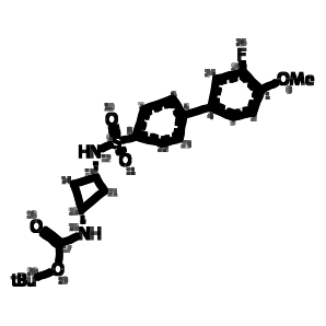 COc1ccc(-c2ccc(S(=O)(=O)N[C@H]3C[C@@H](NC(=O)OC(C)(C)C)C3)cc2)cc1F